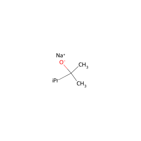 CC(C)C(C)(C)[O-].[Na+]